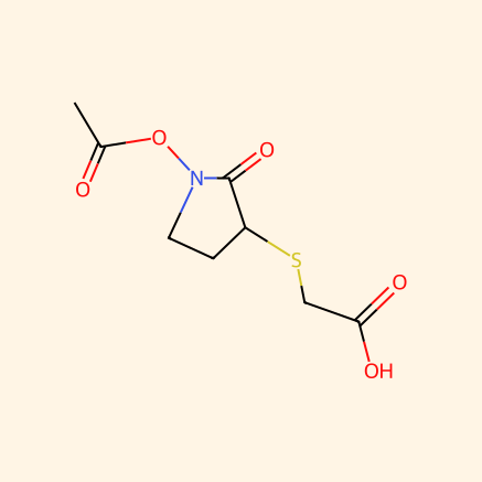 CC(=O)ON1CCC(SCC(=O)O)C1=O